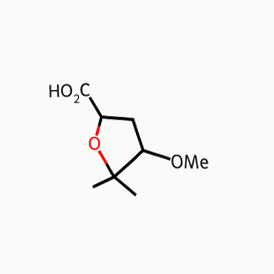 COC1CC(C(=O)O)OC1(C)C